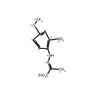 CCOC(=O)C(C)=NNc1ccc(OC(F)(F)F)cc1[N+](=O)[O-]